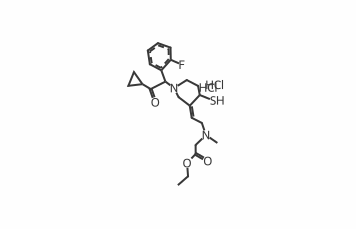 CCOC(=O)CN(C)C/C=C1/CN(C(C(=O)C2CC2)c2ccccc2F)CCC1S.Cl.Cl